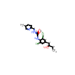 O=C(NCc1ccc(C(F)(F)F)cn1)Nc1c(Cl)cc(CC(O)CC(F)(F)F)cc1Cl